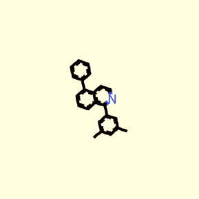 Cc1cc(C)cc(-c2nccc3c(-c4ccccc4)cccc23)c1